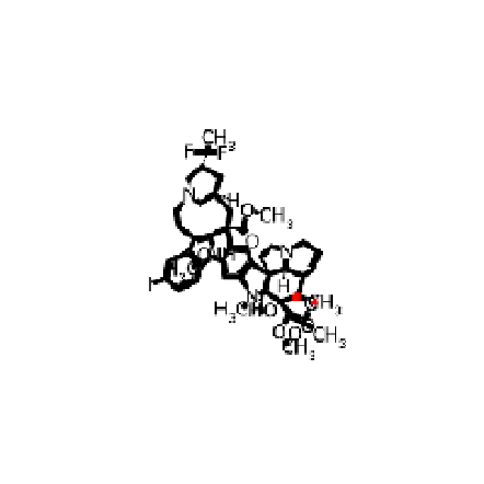 CC[C@]12C=CCN3CC[C@@]4(c5cc([C@@]6(C(=O)OC)C[C@@H]7C[C@@H](C(C)(F)F)C[N@](CCc8c6[nH]c6ccc(I)cc86)C7)c(OC)cc5N(C)[C@H]4[C@@](O)(C(=O)OC)[C@@H]1OC(C)=O)[C@@H]32